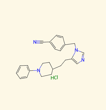 Cl.N#Cc1ccc(Cn2cncc2CCC2CCN(c3ccccc3)CC2)cc1